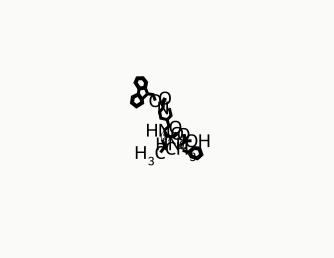 CC(C)C[C@H](NC(=O)C1CCN(C(=O)OCC2c3ccccc3-c3ccccc32)CC1)C(=O)N[C@@H](Cc1ccccc1)C(=O)O